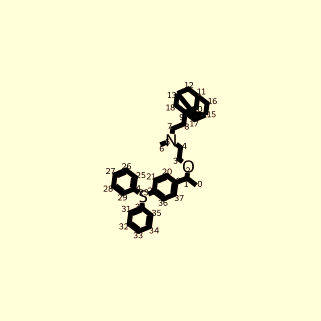 CC(OCCN(C)CCC12CC3CC(CC(C3)C1)C2)c1ccc([S+](c2ccccc2)c2ccccc2)cc1